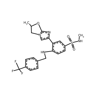 CNS(=O)(=O)c1ccc(NCc2ccc(C(F)(F)F)cc2)c(-c2cn3c(n2)OC(C)C3)c1